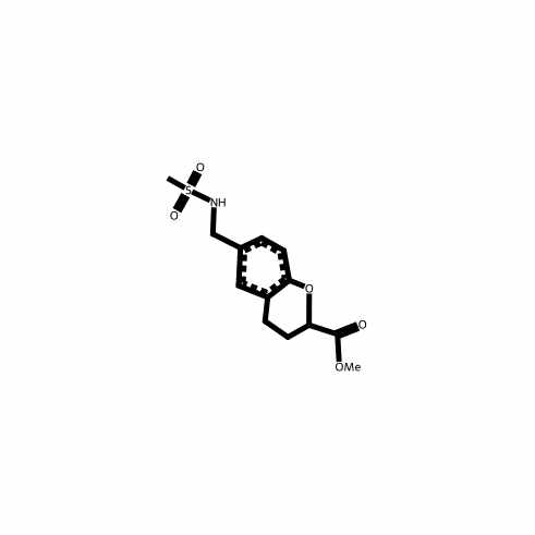 COC(=O)C1CCc2cc(CNS(C)(=O)=O)ccc2O1